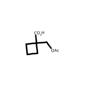 CC(=O)OCC1(C(=O)O)CCC1